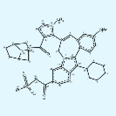 COc1ccc2c(c1)C=C(c1c(C(=O)N3CC4CCC(C3)N4C)cnn1C)Cn1c-2c(C2CCCCC2)c2ccc(C(=O)NS(=O)(=O)C(C)C)cc21